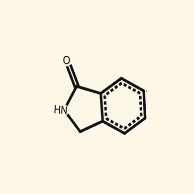 O=C1NCc2cc[c]cc21